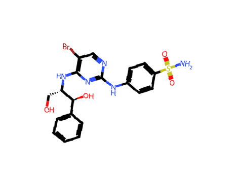 NS(=O)(=O)c1ccc(Nc2ncc(Br)c(N[C@@H](CO)[C@@H](O)c3ccccc3)n2)cc1